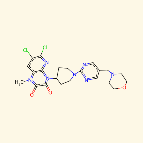 Cn1c(=O)c(=O)n(C2CCN(c3ncc(CN4CCOCC4)cn3)CC2)c2nc(Cl)c(Cl)cc21